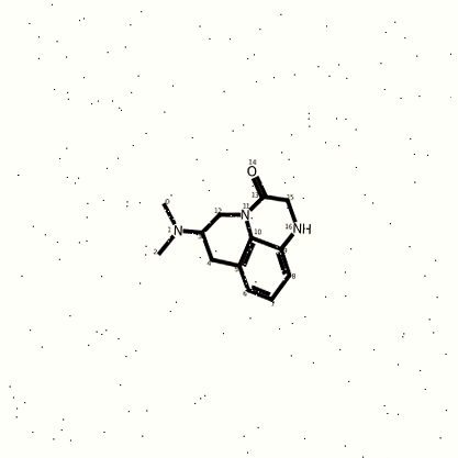 CN(C)C1Cc2cccc3c2N(C1)C(=O)CN3